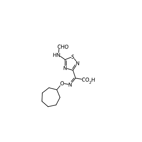 O=CNc1nc(C(=NOC2CCCCCC2)C(=O)O)ns1